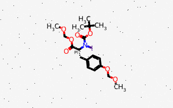 COCOC(=O)[C@@H](Cc1ccc(OCOC)cc1)N(I)C(=O)OC(C)(C)C